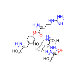 N=C(N)NCCC[C@H](N)C(=O)Oc1ccc(C[C@H](N)C(=O)O)cc1.NCC(=O)O.N[C@@H](CC(=O)O)C(=O)O.N[C@@H](CO)C(=O)O